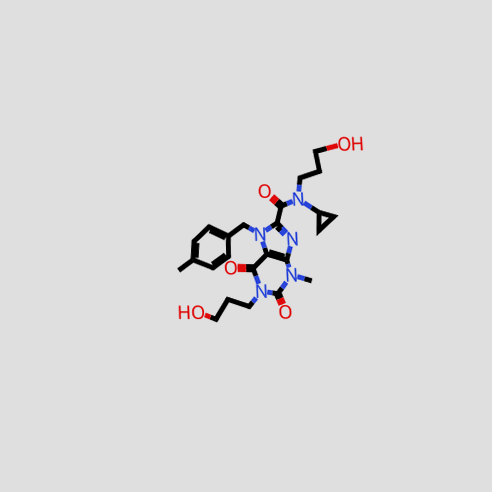 Cc1ccc(Cn2c(C(=O)N(CCCO)C3CC3)nc3c2c(=O)n(CCCO)c(=O)n3C)cc1